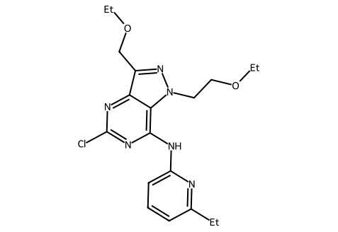 CCOCCn1nc(COCC)c2nc(Cl)nc(Nc3cccc(CC)n3)c21